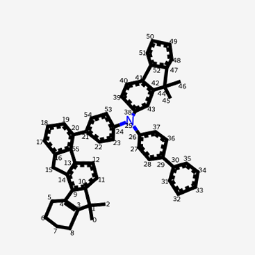 CC1(C)C2=C(CCCC2)c2c1ccc1c2Cc2cccc(-c3ccc(N(c4ccc(-c5ccccc5)cc4)c4ccc5c(c4)C(C)(C)c4ccccc4-5)cc3)c2-1